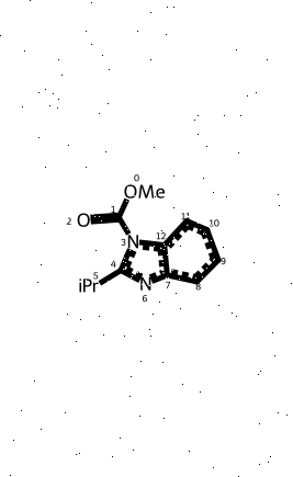 COC(=O)n1c(C(C)C)nc2ccccc21